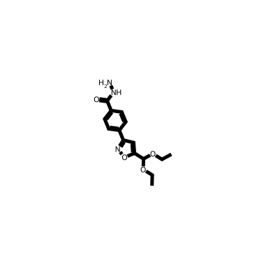 CCOC(OCC)c1cc(-c2ccc(C(=O)NN)cc2)no1